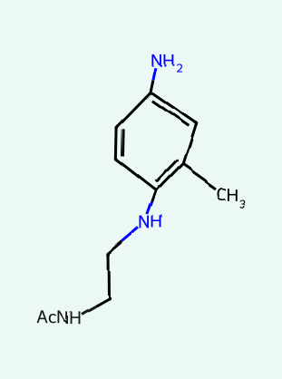 CC(=O)NCCNc1ccc(N)cc1C